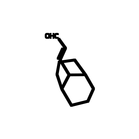 O=CC=CC1C2CCCC1CCC2